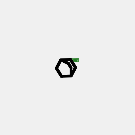 C1CC2CCC1CC2.Cl